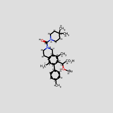 Cc1ccc(-c2c(C)c3c(c(C)c2C(OC(C)(C)C)C(=O)O)CN(C(=O)N2CCC(C)(C)CC2)CC3)cc1